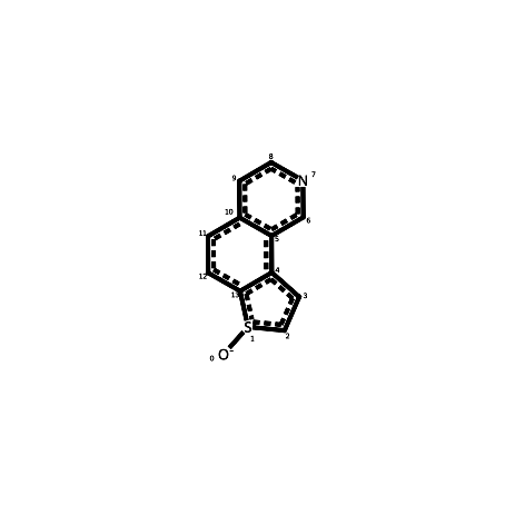 [O-][s+]1ccc2c3cnccc3ccc21